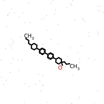 CCCCC1CCC(c2ccc(-c3ccc(C4CCC(C=O)(CCCC)CC4)cc3)cc2)CC1